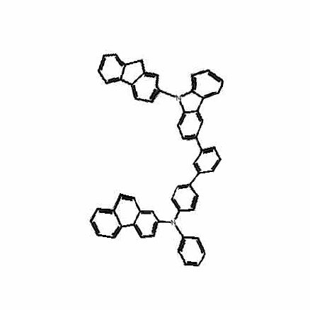 c1ccc(N(c2ccc(-c3cccc(-c4ccc5c(c4)c4ccccc4n5-c4ccc5c(c4)Cc4ccccc4-5)c3)cc2)c2ccc3c(ccc4ccccc43)c2)cc1